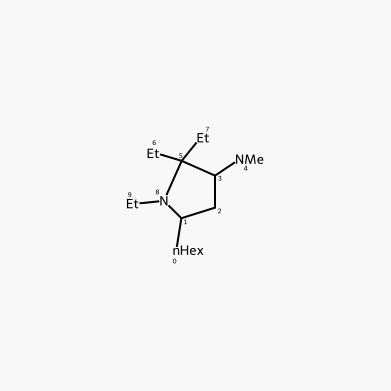 CCCCCCC1CC(NC)C(CC)(CC)N1CC